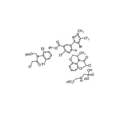 CC(C)OC(=O)c1cc(-c2nn(C)c(C(F)(F)F)c2Br)c(F)cc1Cl.CC1COc2ccccc2N1C(=O)C(Cl)Cl.CCc1cccc(CC)c1N(COC)C(=O)CCl.O=C(O)CNCP(=O)(O)O